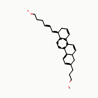 CCCOCCC/C=C/C=C1\CC=Cc2c1ccc1c2C=CC2CC(CCCOCCC)=CC=C12